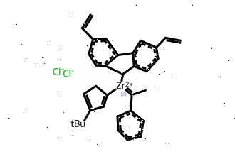 C=Cc1ccc2c(c1)-c1cc(C=C)ccc1[CH]2/[Zr+2]([C]1=CC(C(C)(C)C)=CC1)=[C](\C)c1ccccc1.[Cl-].[Cl-]